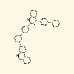 c1ccc(-c2ccc(-c3nc(-c4ccc(-c5cccc(-c6ccc7c(c6)ncc6ccccc67)c5)cc4)nc4ccccc34)cc2)cc1